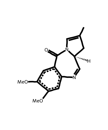 COc1cc2c(cc1OC)C(=O)N1C=C(C)C[C@H]1C=N2